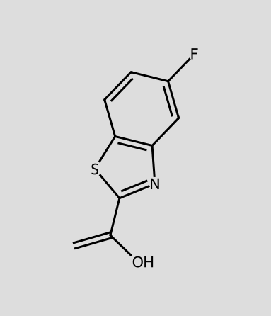 C=C(O)c1nc2cc(F)ccc2s1